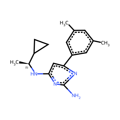 Cc1cc(C)cc(-c2cc(N[C@@H](C)C3CC3)nc(N)n2)c1